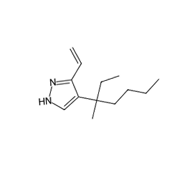 C=Cc1n[nH]cc1C(C)(CC)CCCC